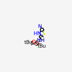 CN(C)c1ccc2c(c1)Nc1cc(NCC(O[Si](C)(C)C(C)(C)C)O[Si](C)(C)C(C)(C)C)ccc1S2